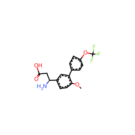 COc1ccc([C@@H](N)CC(=O)O)cc1-c1ccc(OC(F)(F)F)cc1